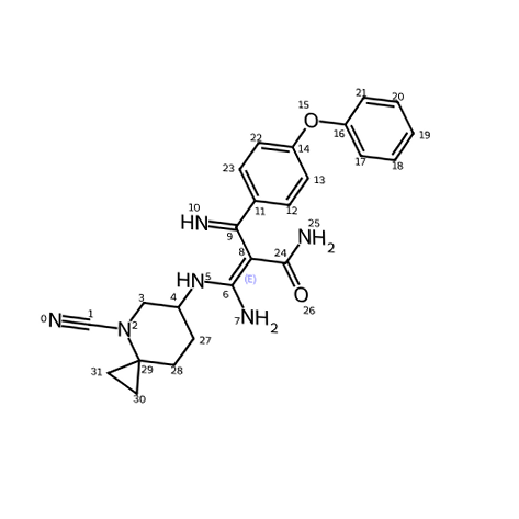 N#CN1CC(N/C(N)=C(\C(=N)c2ccc(Oc3ccccc3)cc2)C(N)=O)CCC12CC2